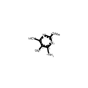 CSc1nc(N)c(N=O)c(O)n1